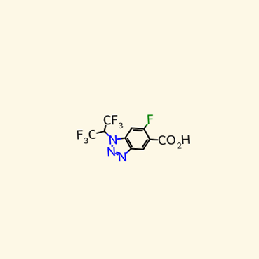 O=C(O)c1cc2nnn(C(C(F)(F)F)C(F)(F)F)c2cc1F